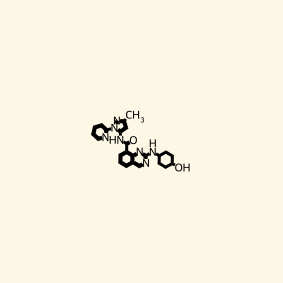 Cc1cc(NC(=O)c2cccc3cnc(NC4CCC(O)CC4)nc23)n(-c2ccccn2)n1